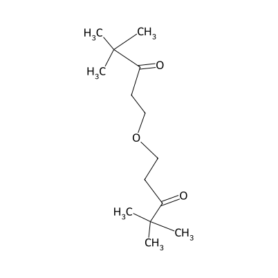 CC(C)(C)C(=O)CCOCCC(=O)C(C)(C)C